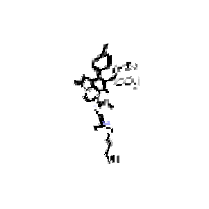 C=N/C(=N\C=C(/C)OCCCO)N1CCn2c(C)cc3c(-c4ccc(C)cc4)c([C@H](OC(C)(C)C)C(=O)O)c(C)c1c32